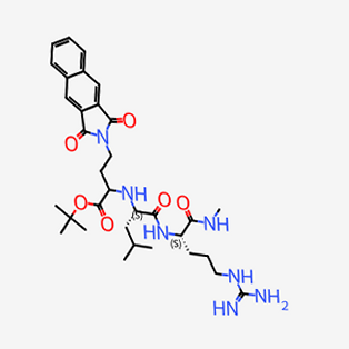 CNC(=O)[C@H](CCCNC(=N)N)NC(=O)[C@H](CC(C)C)NC(CCN1C(=O)c2cc3ccccc3cc2C1=O)C(=O)OC(C)(C)C